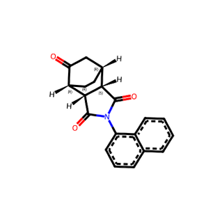 O=C1C[C@H]2CC[C@@H]1[C@H]1C(=O)N(c3cccc4ccccc34)C(=O)[C@@H]21